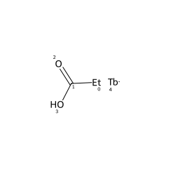 CCC(=O)O.[Tb]